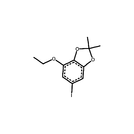 CCOc1cc(I)cc2c1OC(C)(C)O2